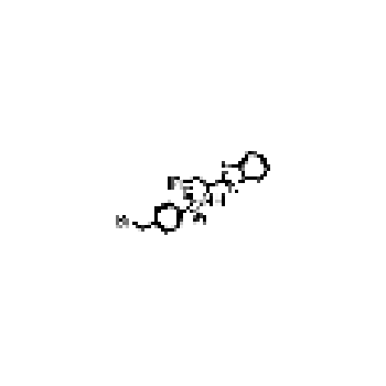 CC(C)CC(NS(=O)(=O)c1ccc(CBr)cc1)c1nc2ccccc2s1